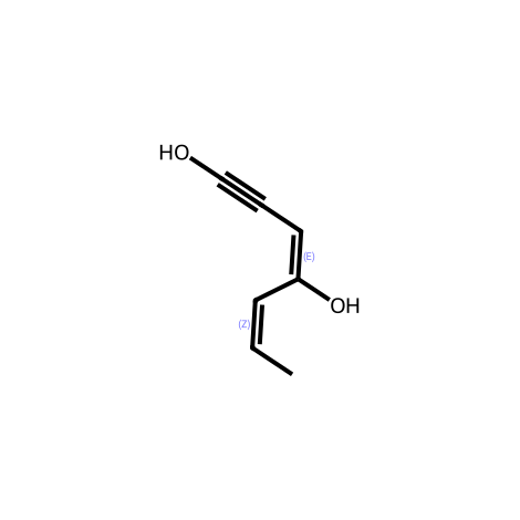 C/C=C\C(O)=C/C#CO